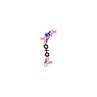 CC(C)(c1ccc(OC[C@@H](O)Cn2nnc(CO)c2I)cc1)c1ccc(OC[C@@H](O)CCl)cc1